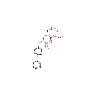 CCOC(=O)[C@H](CN)C[C@H](N)Cc1ccc(-c2ccccc2)cc1